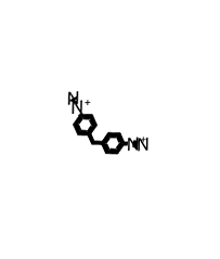 N#[N+]c1ccc(Cc2ccc([N+]#N)cc2)cc1